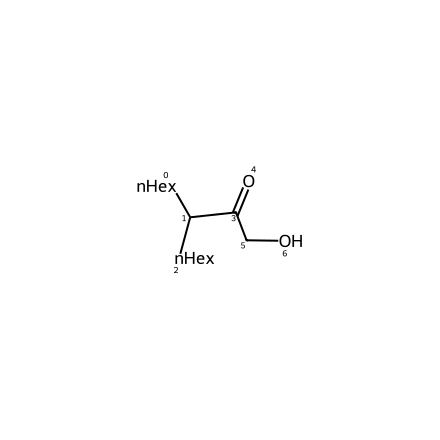 CCCCCCC(CCCCCC)C(=O)CO